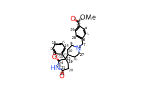 COC(=O)c1ccc(CN2CCC(C3(c4ccccc4)CCC(=O)NC3=O)CC2)cc1